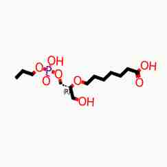 CCCOP(=O)(O)OC[C@@H](CO)OCCCCCCC(=O)O